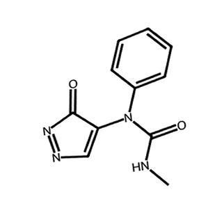 CNC(=O)N(C1=CN=NC1=O)c1ccccc1